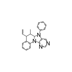 C=CC1c2ccccc2N2c3ncncc3N(c3ccccc3)C2C1C